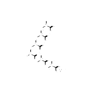 CN(C)C(=O)[O-].CN(C)C(=O)[O-].CN(C)C(=O)[O-].CN(C)C(=O)[O-].CN(C)C(=O)[O-].CN(C)C(=O)[O-].[Mo+6]